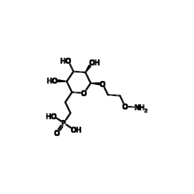 NOCCO[C@H]1OC(CCP(=O)(O)O)[C@@H](O)C(O)[C@H]1O